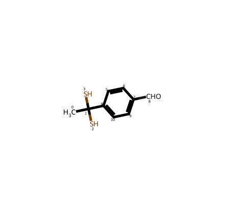 CC(S)(S)c1ccc(C=O)cc1